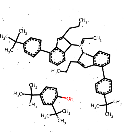 CC(C)(C)c1ccc(O)c(C(C)(C)C)c1.C[CH]=[Zr]([CH]1C(CCC)=Cc2c(-c3ccc(C(C)(C)C)cc3)cccc21)[CH]1C(CCC)=Cc2c(-c3ccc(C(C)(C)C)cc3)cccc21